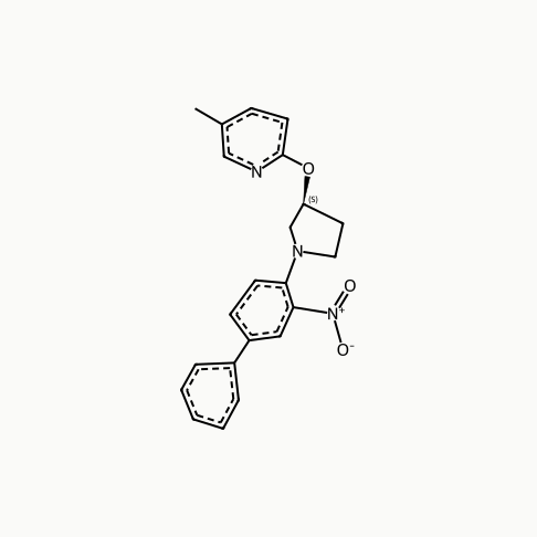 Cc1ccc(O[C@H]2CCN(c3ccc(-c4ccccc4)cc3[N+](=O)[O-])C2)nc1